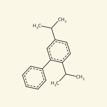 CC(C)c1ccc(C(C)C)c(-c2ccccc2)c1